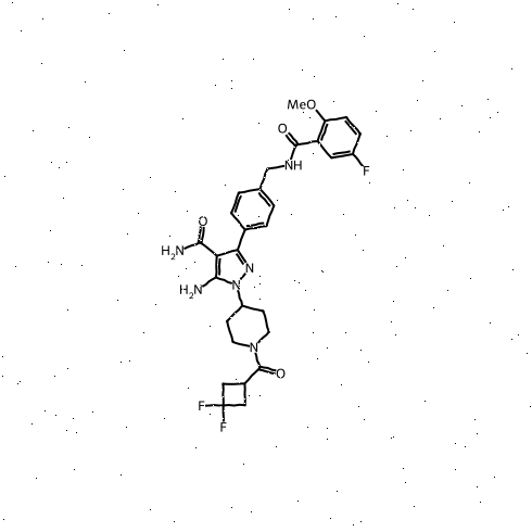 COc1ccc(F)cc1C(=O)NCc1ccc(-c2nn(C3CCN(C(=O)C4CC(F)(F)C4)CC3)c(N)c2C(N)=O)cc1